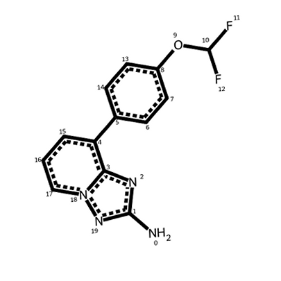 Nc1nc2c(-c3ccc(OC(F)F)cc3)cccn2n1